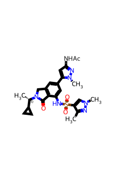 CC(=O)Nc1cc(-c2cc3c(c(NS(=O)(=O)c4cn(C)nc4C)c2)C(=O)N([C@@H](C)C2CC2)C3)n(C)n1